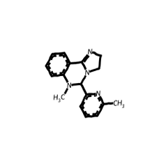 Cc1cccc(C2N3CCN=C3c3ccccc3N2C)n1